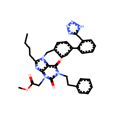 CCCCc1nc2c(c(=O)n(CCc3ccccc3)c(=O)n2CC(=O)OC)n1Cc1ccc(-c2ccccc2-c2nnn[nH]2)cc1